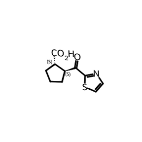 O=C(O)[C@H]1CCC[C@@H]1C(=O)c1nccs1